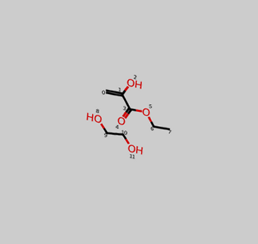 C=C(O)C(=O)OCC.OCCO